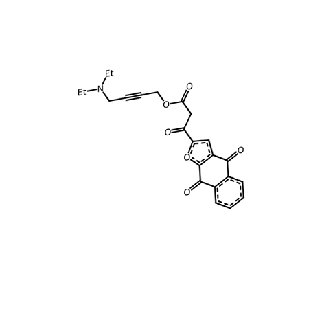 CCN(CC)CC#CCOC(=O)CC(=O)c1cc2c(o1)C(=O)c1ccccc1C2=O